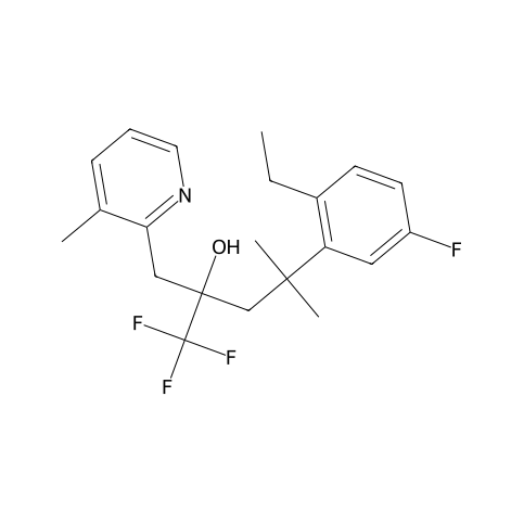 CCc1ccc(F)cc1C(C)(C)CC(O)(Cc1ncccc1C)C(F)(F)F